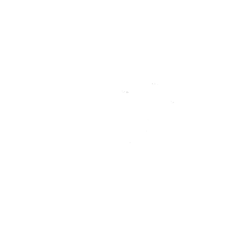 COc1cc(C(=O)C2CC2c2ccc(F)c(OOP(=O)(O)O)c2)cc(OC)c1OC